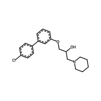 OC(COc1cccc(-c2ccc(Cl)cc2)c1)CN1CCCCC1